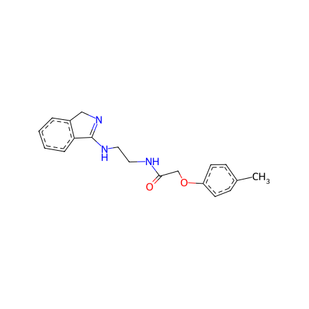 Cc1ccc(OCC(=O)NCCNC2=NCc3ccccc32)cc1